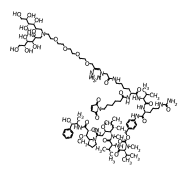 CC[C@H](C)[C@@H]([C@@H](CC(=O)N1CCC[C@H]1[C@H](OC)[C@@H](C)C(=O)N[C@H](C)[C@@H](O)c1ccccc1)OC)N(C)C(=O)[C@@H](NC(=O)[C@H](C(C)C)N(C)C(=O)OCc1ccc(NC(=O)[C@H](CCCNC(N)=O)NC(=O)[C@@H](NC(=O)[C@H](CCCCNC(=O)CN(N)/C=C(\N)COCCOCCOCCOCCN(C[C@H](O)[C@@H](O)[C@H](O)[C@H](O)CO)C[C@H](O)[C@@H](O)[C@H](O)[C@H](O)CO)NC(=O)CCCCCN2C(=O)C=CC2=O)C(C)C)cc1)C(C)C